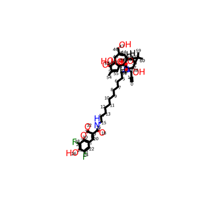 C#CCN(CCCCCCCCCCCCNC(=O)c1cc2cc(F)c(O)c(F)c2oc1=O)C(=O)O[C@@]12[C@H](O)[C@@H](C)[C@@]3(O)[C@@H](C=C(CO)C[C@]4(O)C(=O)C(C)=C[C@@H]34)[C@@H]1C2(C)C